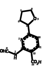 O=CNc1nc(C2CCCO2)ccc1C(=O)O